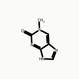 Cn1cc2nc[nH]c2nc1=O